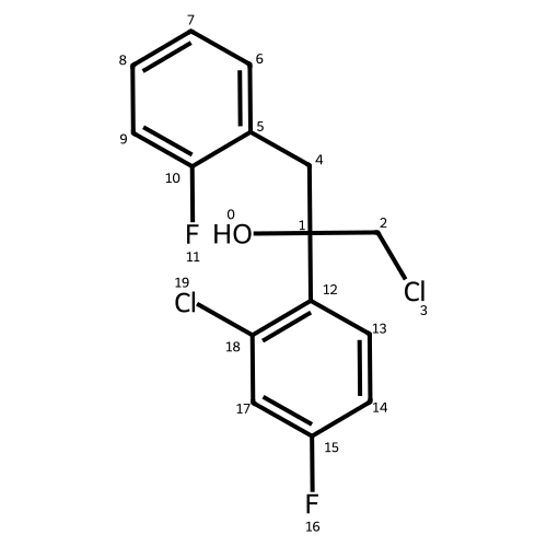 OC(CCl)(Cc1ccccc1F)c1ccc(F)cc1Cl